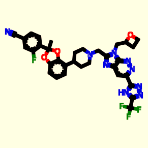 CC1(c2ccc(C#N)cc2F)Oc2cccc(C3CCN(Cc4nc5cc(-c6nnc(C(F)(F)F)[nH]6)nnc5n4CC4CCO4)CC3)c2O1